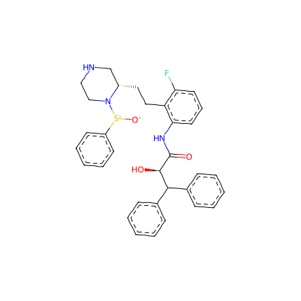 O=C(Nc1cccc(F)c1CC[C@H]1CNCCN1[S+]([O-])c1ccccc1)[C@H](O)C(c1ccccc1)c1ccccc1